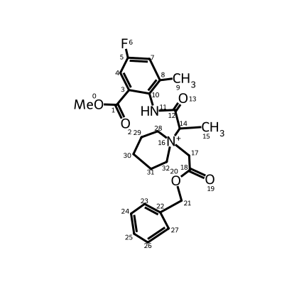 COC(=O)c1cc(F)cc(C)c1NC(=O)C(C)[N+]1(CC(=O)OCc2ccccc2)CCCCC1